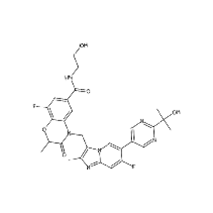 Cc1nc2cc(F)c(-c3cnc(C(C)(C)O)nc3)cn2c1CN1C(=O)C(C)Oc2c(F)cc(C(=O)NCCO)cc21